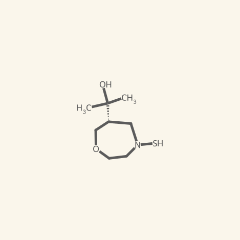 CC(C)(O)[C@H]1COCCN(S)C1